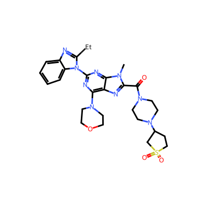 CCc1nc2ccccc2n1-c1nc(N2CCOCC2)c2nc(C(=O)N3CCN(C4CCS(=O)(=O)C4)CC3)n(C)c2n1